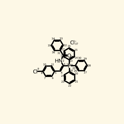 O=C(NC(=Cc1ccc(Cl)cc1)[P+](c1ccccc1)(c1ccccc1)c1ccccc1)c1ccccc1.[Cl-]